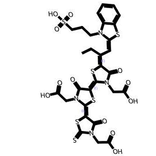 CC/C(C=C1Sc2ccccc2N1CCCS(=O)(=O)O)=c1\s/c(=c2/s/c(=C3/SC(=S)N(CC(=O)O)C3=O)n(CC(=O)O)c2=O)n(CC(=O)O)c1=O